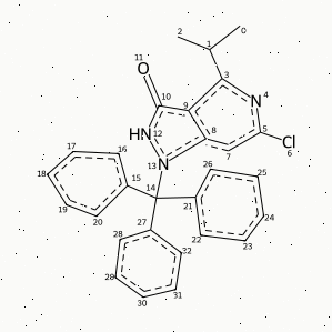 CC(C)c1nc(Cl)cc2c1c(=O)[nH]n2C(c1ccccc1)(c1ccccc1)c1ccccc1